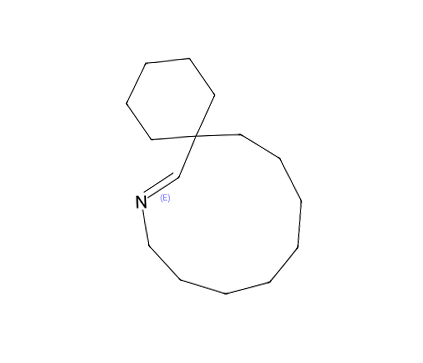 C1=N/CCCCCCCCC/12CCCCC2